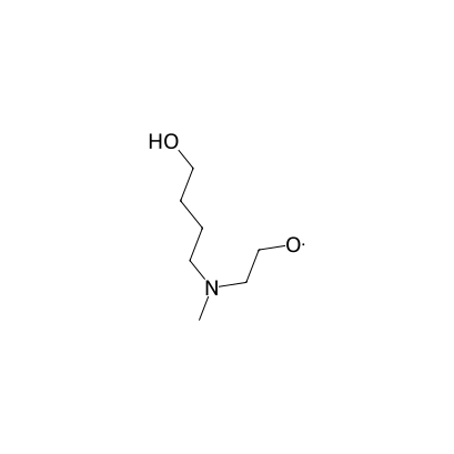 CN(CC[O])CCCCO